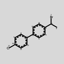 CC(Br)c1ccc(-c2ccc(Cl)cc2)cc1